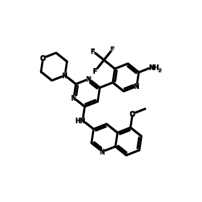 COc1cccc2ncc(Nc3cc(-c4cnc(N)cc4C(F)(F)F)nc(N4CCOCC4)n3)cc12